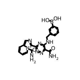 NC(=O)c1nnc(C2=NC=C3C=CC=C[N+]32C(N)=O)nc1NCc1cccc(B(O)O)c1